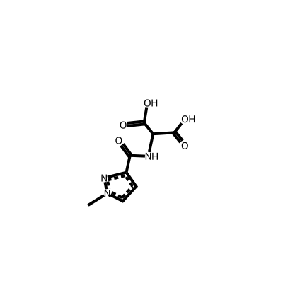 Cn1ccc(C(=O)NC(C(=O)O)C(=O)O)n1